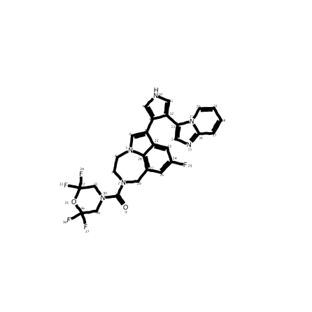 O=C(N1CCn2cc(-c3c[nH]cc3-c3cnc4ccccn34)c3cc(F)cc(c32)C1)N1CC(F)(F)OC(F)(F)C1